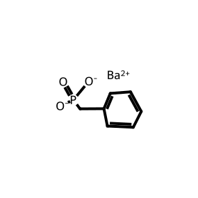 O=P([O-])([O-])Cc1ccccc1.[Ba+2]